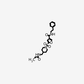 C=CC(=O)NCC1CCN(S(=O)(=O)c2cc(C(=O)NCCc3ccccc3)co2)CC1